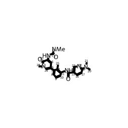 CNC(=O)Nc1cc(-c2cccc(NC(=O)c3ccc(N(C)C)nc3)c2C)cn(C)c1=O